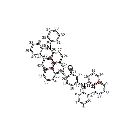 c1ccc(-c2ccccc2N(c2ccccc2)c2ccc3c(c2)oc2c4ccc(N(c5ccccc5)c5ccccc5-c5ccccc5)cc4c4ccccc4c32)cc1